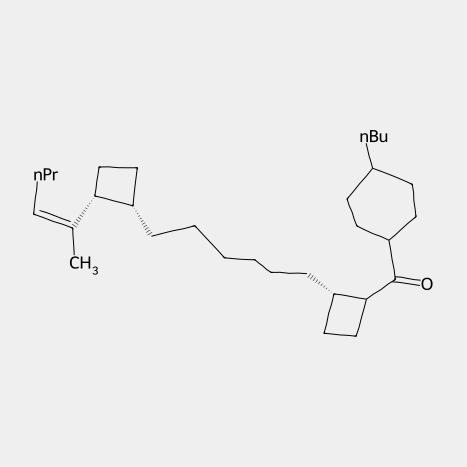 CCC/C=C(/C)[C@@H]1CC[C@@H]1CCCCCC[C@H]1CCC1C(=O)C1CCC(CCCC)CC1